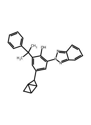 CC(C)(c1ccccc1)c1cc(C2C3C4CC423)cc(-n2nc3ccccc3n2)c1O